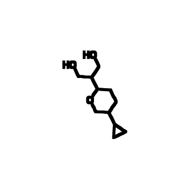 OCC(CO)C1CCC(C2CC2)CO1